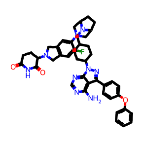 Nc1ncnc2c1c(-c1ccc(Oc3ccccc3)cc1)nn2C1CCC(CN2C3CCC2CN(c2cc4c(cc2F)CN(C2CCC(=O)NC2=O)C4)C3)CC1